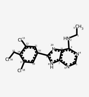 CCNc1ncnc2[nH]c(-c3cc(Cl)c(CCl)c(Cl)c3)nc12